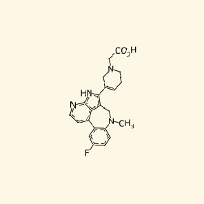 CN1Cc2c(C3=CCCN(CC(=O)O)C3)[nH]c3nccc(c23)-c2cc(F)ccc21